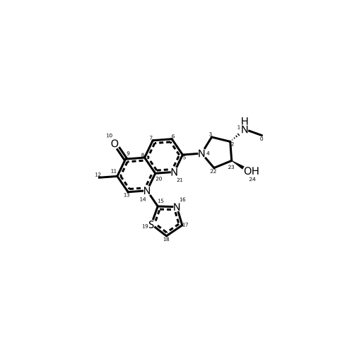 CN[C@H]1CN(c2ccc3c(=O)c(C)cn(-c4nccs4)c3n2)C[C@@H]1O